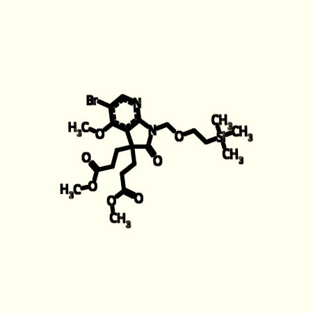 COC(=O)CCC1(CCC(=O)OC)C(=O)N(COCC[Si](C)(C)C)c2ncc(Br)c(OC)c21